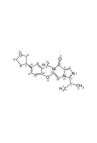 CC(C)c1ncc2c(=O)n(C)c(Oc3ccc([C@H]4CCOC4)cc3)cn12